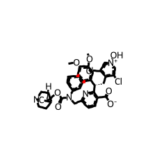 COc1ccc([C@H](Cc2c(Cl)c[n+](O)cc2Cl)c2nc(CN(C(=O)O[C@H]3CN4CCC3CC4)c3ccccc3)ccc2C(=O)[O-])cc1OC